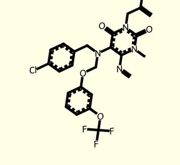 C=Nc1c(N(COc2cccc(OC(F)(F)F)c2)Cc2ccc(Cl)cc2)c(=O)n(CC(=C)C)c(=O)n1C